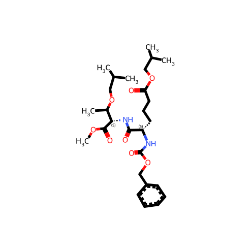 COC(=O)[C@@H](NC(=O)[C@H](CCCC(=O)OCC(C)C)NC(=O)OCc1ccccc1)C(C)OCC(C)C